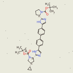 CC(C)(C)OC(=O)N1CCC[C@H]1c1ncc(-c2ccc(-c3ccc(-c4cnc([C@@H]5C[C@H](C6CC6)CN5C(=O)OC(C)(C)C)[nH]4)cc3)cc2)[nH]1